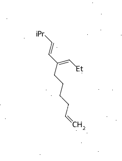 C=CCCCCC(C=CC(C)C)=CCC